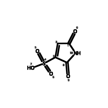 O=C1C=C(S(=O)(=O)O)C(=O)N1